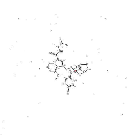 COc1cccc2c(C(=O)NCC(C)C)cn(CCCN3C4CCC3CC(Oc3ccc(F)cc3)C4)c12